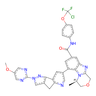 COc1cnc(-n2cc3c(n2)-c2cc(-c4cc(C(=O)Nc5ccc(OC(F)(F)Cl)cc5)cc5nc6n(c45)[C@H](C)COC6)cnc2C3)nc1